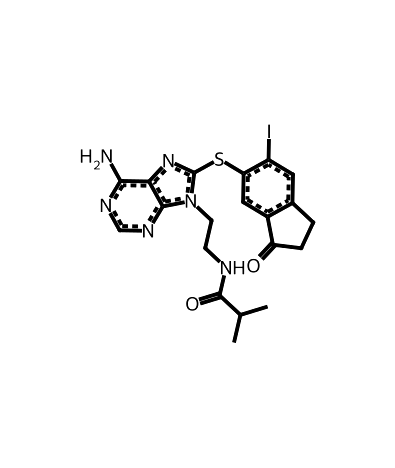 CC(C)C(=O)NCCn1c(Sc2cc3c(cc2I)CCC3=O)nc2c(N)ncnc21